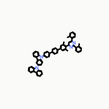 Cc1ccccc1-c1cc(-c2c(C)cc(-c3ccc(-c4ccc(-n5c6ccccc6c6cc(-n7c8ccccc8c8ccccc87)ccc65)cc4)cc3)cc2C)nc(-c2ccccc2C)n1